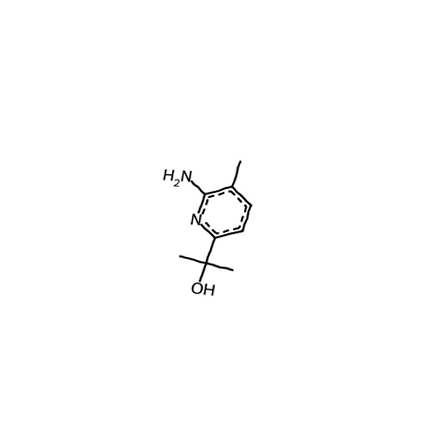 Cc1ccc(C(C)(C)O)nc1N